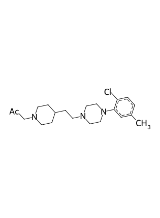 CC(=O)CN1CCC(CCN2CCN(c3cc(C)ccc3Cl)CC2)CC1